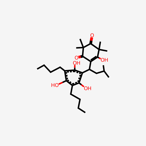 CCCCc1c(O)c(CCCC)c(O)c(C(CC(C)C)C2=C(O)C(C)(C)C(=O)C(C)(C)C2=O)c1O